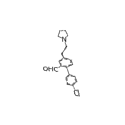 O=Cc1cc(CCN2CCCC2)ccc1-c1ccc(Cl)cc1